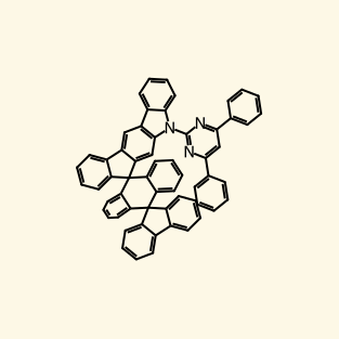 c1ccc(-c2cc(-c3ccccc3)nc(-n3c4ccccc4c4cc5c(cc43)C3(c4ccccc4-5)c4ccccc4C4(c5ccccc5-c5ccccc54)c4ccccc43)n2)cc1